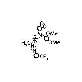 C=C(c1csc(CN(Cc2ccc3c(c2)OCO3)Cc2ccc(OC)cc2OC)n1)N1CCN(c2cccc(C(F)(F)F)c2)CC1